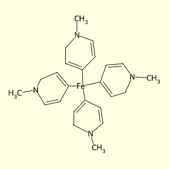 CN1C=C[C]([Fe]([C]2=CCN(C)C=C2)([C]2=CCN(C)C=C2)[C]2=CCN(C)C=C2)=CC1